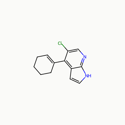 Clc1cnc2[nH]ccc2c1C1=CCCCC1